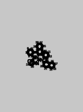 c1ccc(-c2nc(-n3c4ccccc4c4c5ccccc5ccc43)nc3ccoc23)c(-c2cccc3ccccc23)c1